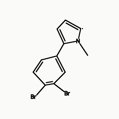 Cn1[c]ccc1-c1ccc(Br)c(Br)c1